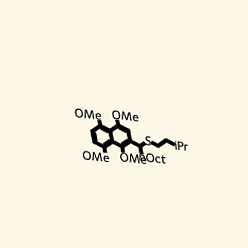 CCCCCCCCC(SCCC(C)C)c1cc(OC)c2c(OC)ccc(OC)c2c1OC